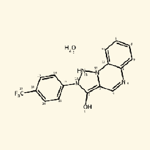 O.OC1=C2C=Nc3ccccc3N2NN1c1ccc(C(F)(F)F)cc1